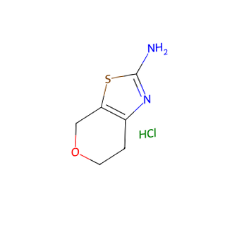 Cl.Nc1nc2c(s1)COCC2